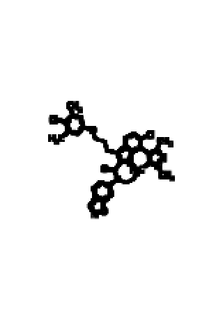 Cc1cc(OCCCc2c3n(c4c(-c5c(C)nn(C)c5C)c(Cl)ccc24)CCCN(c2ccc4cnoc4c2)C3=O)cc(C)c1Cl